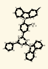 Cc1ccc2c(c1)c1ccccc1n2-c1ccc(-c2nc(-c3ccccc3)nc(-n3c4ccccc4c4ccccc43)n2)cc1C(F)(F)F